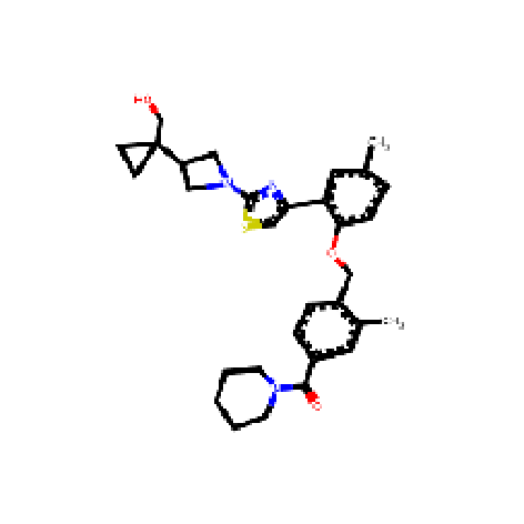 Cc1ccc(OCc2ccc(C(=O)N3CCCCC3)cc2C)c(-c2csc(N3CC(C4(CO)CC4)C3)n2)c1